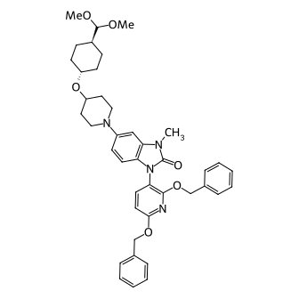 COC(OC)[C@H]1CC[C@H](OC2CCN(c3ccc4c(c3)n(C)c(=O)n4-c3ccc(OCc4ccccc4)nc3OCc3ccccc3)CC2)CC1